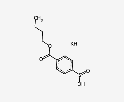 CCCCOC(=O)c1ccc(S(=O)O)cc1.[KH]